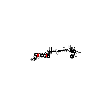 COc1cc(O)c(C(=O)c2ccccc2)cc1S(=O)(=O)NCCOC(=O)CCCCC(=O)OCCCNS(=O)(=O)CC12CCC(/C(=C/c3ccc(/C=C4\C(=O)C5(CS(=O)(=O)O)CCC4C5(C)C)cc3)C1=O)C2(C)C